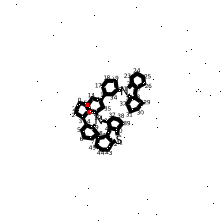 c1ccc(-c2ccccc2N(c2cccc(-c3cccc(-n4c5ccccc5c5ccccc54)c3)c2)c2cccc3sc4ccccc4c23)cc1